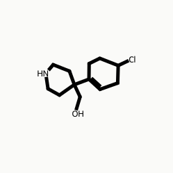 OCC1(C2=CCC(Cl)CC2)CCNCC1